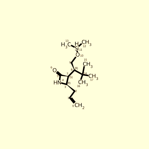 C=CC[C@H]1NC(=O)[C@H]1[C@@H](CO[SiH](C)C)C(C)(C)C